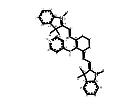 CN1/C(=C/C=C2\CCCC(/C=C/C3=[N+](C)c4ccccc4C3(C)C)=C2Sc2ccncc2)C(C)(C)c2ccccc21